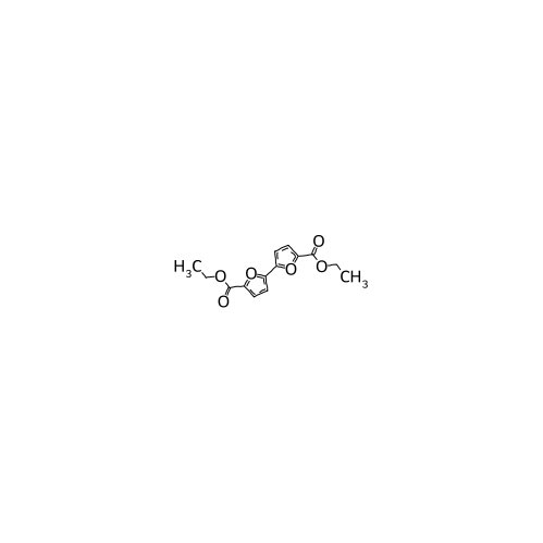 CCOC(=O)c1ccc(-c2ccc(C(=O)OCC)o2)o1